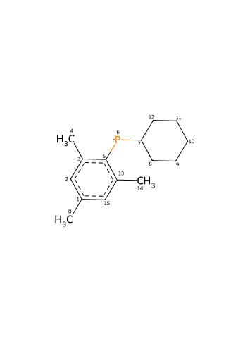 Cc1cc(C)c([P]C2CCCCC2)c(C)c1